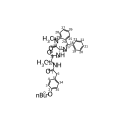 CCCCOc1ccc(CC(=O)NC(C)C(=O)N[C@H]2N=C(c3ccccc3)c3ccccc3N(C)C2=O)cc1